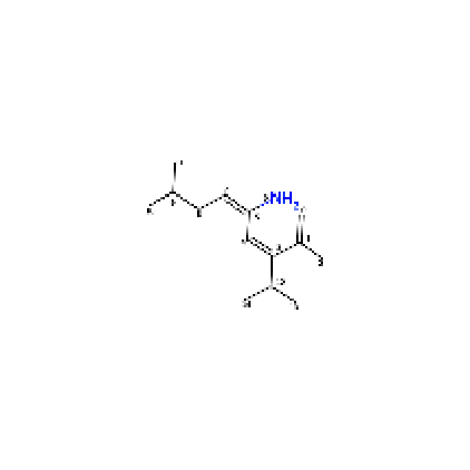 C=C(C)/C(=C\C(N)=C/CC(C)C)C(C)C